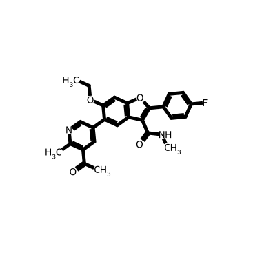 CCOc1cc2oc(-c3ccc(F)cc3)c(C(=O)NC)c2cc1-c1cnc(C)c(C(C)=O)c1